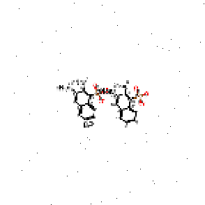 CCCCCCCCCc1cc2ccccc2c(S(=O)(=O)[O-])c1CCCCCCCCC.CCCCCCCCCc1cc2ccccc2c(S(=O)(=O)[O-])c1CCCCCCCCC.[Ni+2]